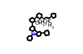 C=C(/C=C(\C)c1ccccc1)c1cccc(-c2cccc(-c3ccc4c(c3)c3cc(-c5ccccc5)ccc3n4-c3ccccc3)c2C)c1C